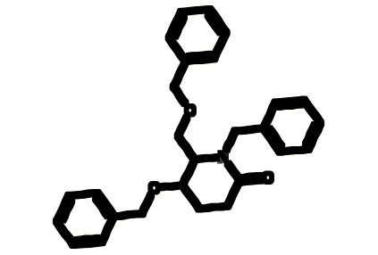 O=C1CCC(OCc2ccccc2)C(COCc2ccccc2)N1Cc1ccccc1